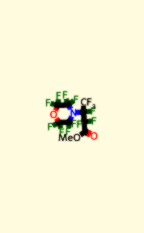 COC(=O)C(F)(F)C(F)(N1C(F)(F)C(F)(F)OC(F)(F)C1(F)F)C(F)(F)F